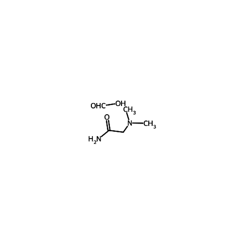 CN(C)CC(N)=O.O=CO